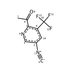 [C-]#[N+]c1cnc(C(C)=O)c(C(F)(F)F)c1